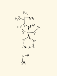 CCOc1ccc(C(OC)(OC)C(=O)OC(C)(C)C)cc1